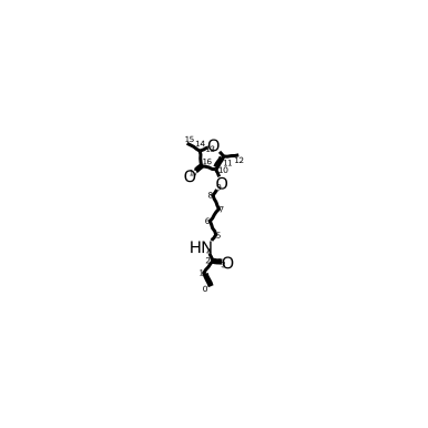 C=CC(=O)NCCCCOC1=C(C)OC(C)C1=O